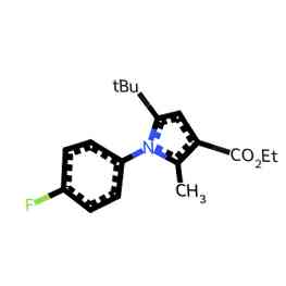 CCOC(=O)c1cc(C(C)(C)C)n(-c2ccc(F)cc2)c1C